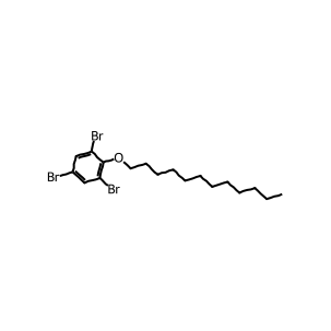 CCCCCCCCCCCCOc1c(Br)cc(Br)cc1Br